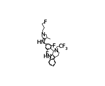 CC1CN(CCCF)C[C@H]1Nc1cc(F)c(C2c3[nH]c4ccccc4c3CCN2CC(F)(F)F)c(F)c1